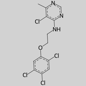 Cc1ncnc(NCCOc2cc(Cl)c(Cl)cc2Cl)c1Cl